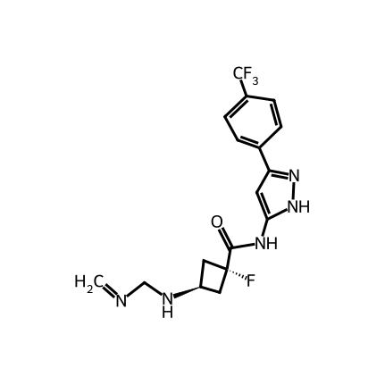 C=NCN[C@H]1C[C@@](F)(C(=O)Nc2cc(-c3ccc(C(F)(F)F)cc3)n[nH]2)C1